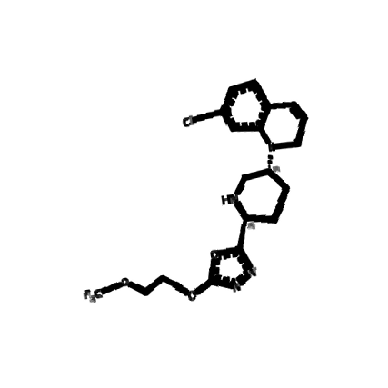 FC(F)(F)OCCOc1nnc([C@@H]2CC[C@@H](N3CC=Cc4ccc(Cl)cc43)CN2)o1